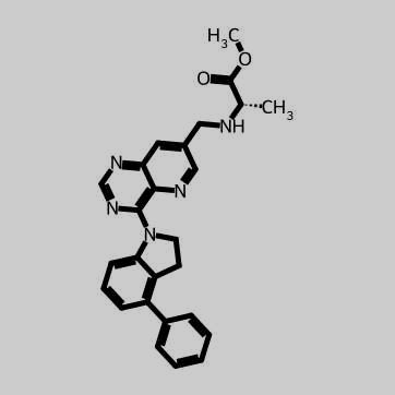 COC(=O)[C@H](C)NCc1cnc2c(N3CCc4c(-c5ccccc5)cccc43)ncnc2c1